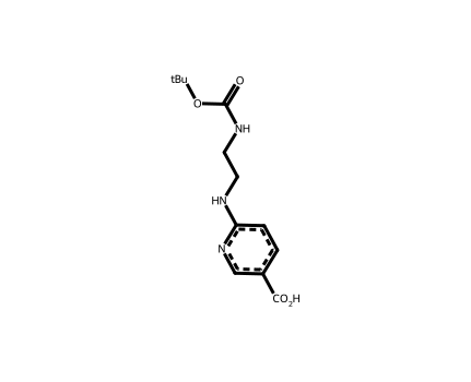 CC(C)(C)OC(=O)NCCNc1ccc(C(=O)O)cn1